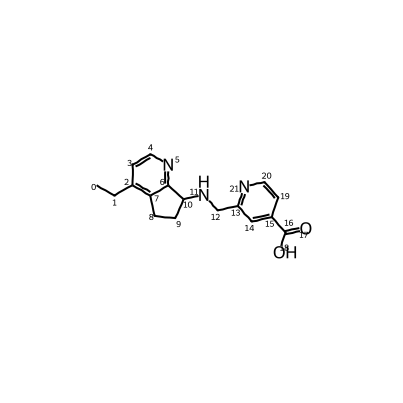 CCc1ccnc2c1CCC2NCc1cc(C(=O)O)ccn1